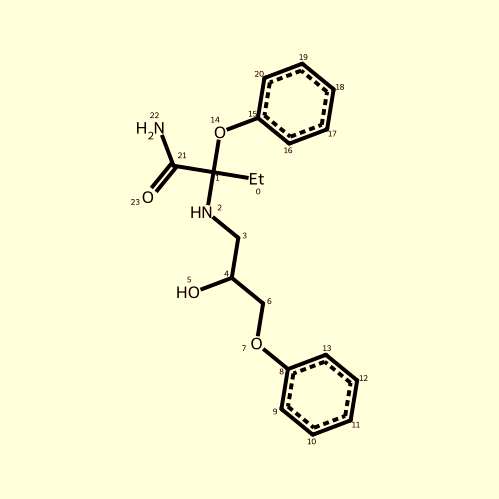 CCC(NCC(O)COc1ccccc1)(Oc1ccccc1)C(N)=O